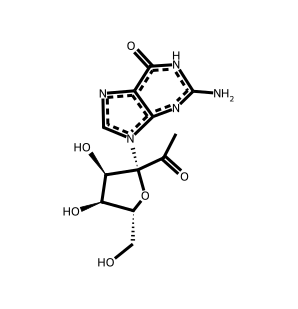 CC(=O)[C@@]1(n2cnc3c(=O)[nH]c(N)nc32)O[C@H](CO)[C@@H](O)[C@H]1O